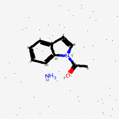 CC(=O)n1ccc2ccccc21.N